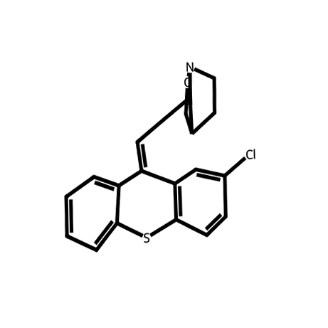 Clc1ccc2c(c1)C(=CC1CN3CCC1CC3)c1ccccc1S2